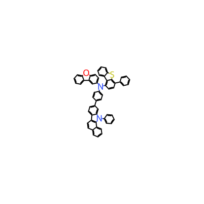 c1ccc(-c2ccc(N(c3ccc(-c4ccc5c6ccc7ccccc7c6n(-c6ccccc6)c5c4)cc3)c3ccc4oc5ccccc5c4c3)c3c2sc2ccccc23)cc1